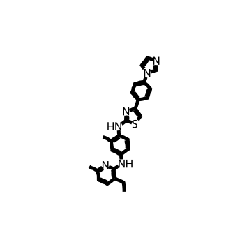 CCc1ccc(C)nc1Nc1ccc(Nc2nc(-c3ccc(-n4ccnc4)cc3)cs2)c(C)c1